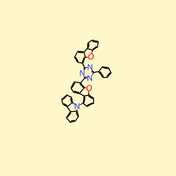 c1ccc(-c2nc(-c3cccc4c3oc3ccccc34)nc(-c3cccc4c3oc3cccc(-n5c6ccccc6c6ccccc65)c34)n2)cc1